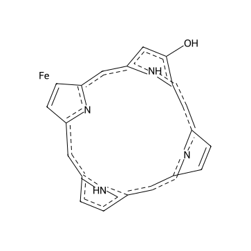 Oc1cc2cc3nc(cc4ccc(cc5nc(cc1[nH]2)C=C5)[nH]4)C=C3.[Fe]